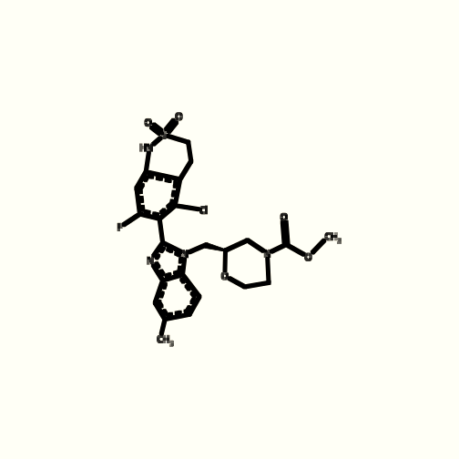 COC(=O)N1CCO[C@@H](Cn2c(-c3c(F)cc4c(c3Cl)CCS(=O)(=O)N4)nc3cc(C)ccc32)C1